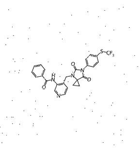 O=C(Nc1cnccc1CN1C(=O)N(c2ccc(SC(F)(F)F)cc2)C(=O)C12CC2)c1ccccc1